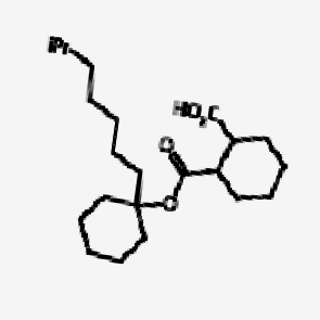 CC(C)CCCCCC1(OC(=O)C2CCCCC2C(=O)O)CCCCC1